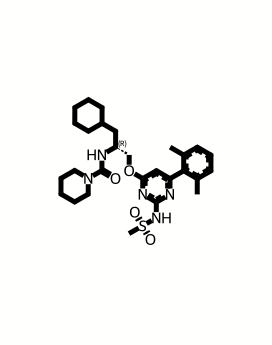 Cc1cccc(C)c1-c1cc(OC[C@@H](CC2CCCCC2)NC(=O)N2CCCCC2)nc(NS(C)(=O)=O)n1